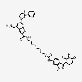 Cn1nc(C2CCC(=O)NC2=O)c2ccc(NC(=O)CCCCCCCCCNC(=O)c3nc4c(CN)cc(N5CC[C@](C)(c6ccccc6)C5)cn4n3)cc21